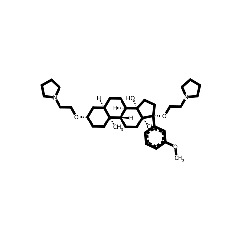 COc1cccc([C@]2(OCCN3CCCC3)CC[C@]3(O)[C@@H]4CC[C@@H]5C[C@@H](OCCN6CCCC6)CC[C@]5(C)[C@H]4CC[C@]23C)c1